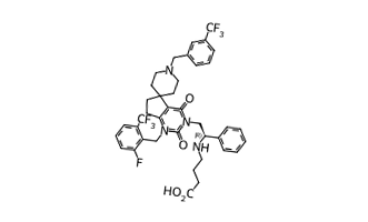 O=C(O)CCCN[C@@H](Cn1c(=O)c2c(n(Cc3c(F)cccc3C(F)(F)F)c1=O)CCC21CCN(Cc2cccc(C(F)(F)F)c2)CC1)c1ccccc1